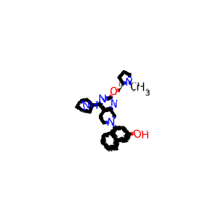 CN1CCC[C@H]1COc1nc2c(c(C3CC4CC(C3)N4)n1)CCN(c1cc(O)cc3ccccc13)C2